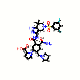 CC1(C)CN(S(=O)(=O)c2cc(F)cc(F)c2)Cc2c(NC(=O)c3cc(-n4cccc4C(=O)O)c(CN4CCCC4)cc3C(N)=O)n[nH]c21